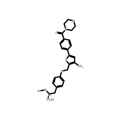 CCOC(=O)[C@H](Cc1ccc(OCc2sc(-c3ccc(C(=O)N4CCOCC4)cc3)cc2C)cc1)OCC